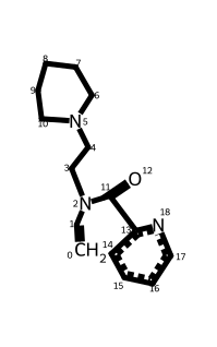 C=CN(CCN1CCCCC1)C(=O)c1ccccn1